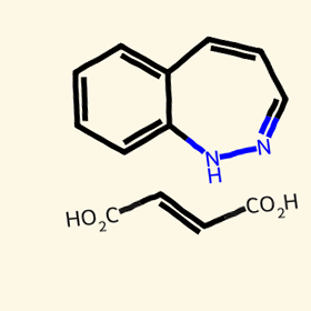 C1=Cc2ccccc2NN=C1.O=C(O)C=CC(=O)O